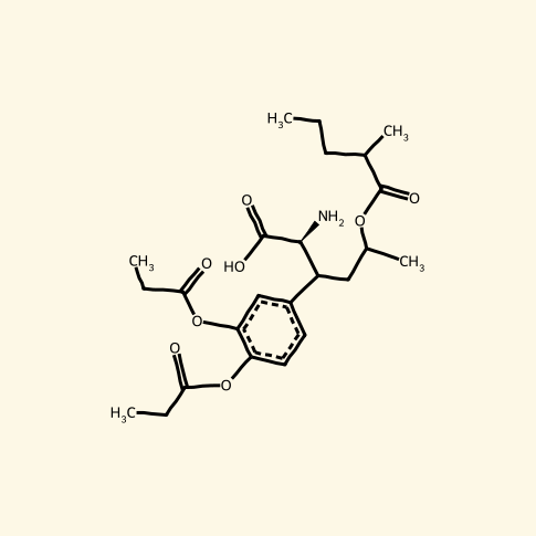 CCCC(C)C(=O)OC(C)CC(c1ccc(OC(=O)CC)c(OC(=O)CC)c1)[C@H](N)C(=O)O